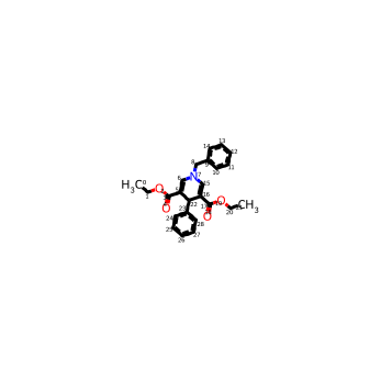 CCOC(=O)C1=CN(Cc2ccccc2)C=C(C(=O)OCC)C1c1ccccc1